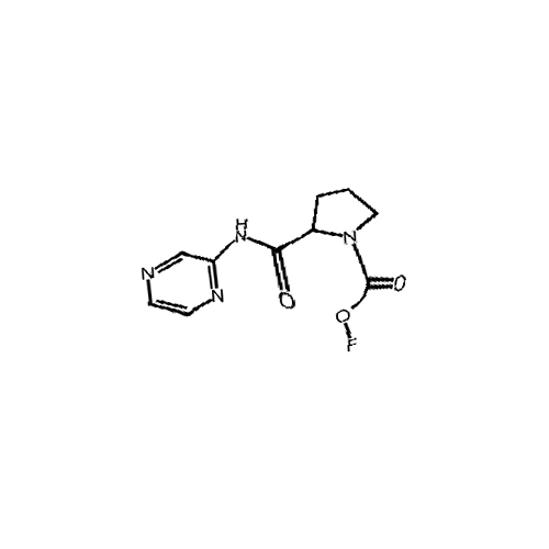 O=C(Nc1cnccn1)C1CCCN1C(=O)OF